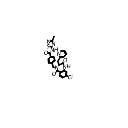 Cc1nsc(NC(=O)c2ccc(CN3C(=O)c4ccc(Cl)cc4NC(=O)C3Cc3ccccn3)cc2)n1